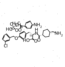 CC(=O)c1ccc(N)cc1.CS(=O)(=O)O.NC[C@H]1CC[C@H](C(=O)N[C@@H](Cc2ccc(OCc3cccc(Cl)c3)cc2)C(=O)O)CC1